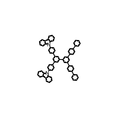 c1ccc(-c2ccc(-c3cc(-c4ccc(-c5ccccc5)cc4)cc(-c4cc(-c5ccc(-n6c7ccccc7c7ccccc76)cc5)cc(-c5ccc(-n6c7ccccc7c7ccccc76)cc5)c4)c3)cc2)cc1